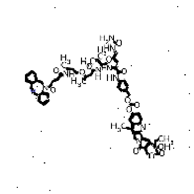 CCc1c2c(nc3ccc(OC(=O)OCc4ccc(NC(=O)[C@H](CCCNC(N)=O)NC(=O)[C@@H](NC(=O)CC(C)OCCC(C)NC(=O)CCC(=O)N5Cc6ccccc6/C=C\c6ccccc65)C(C)C)cc4)cc13)-c1cc3c(c(=O)n1C2)COC(=O)[C@]3(O)CC